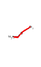 CCCCCCCCC=CCCCCCCCCCC(=O)OCCCCCCCCCCCCCCCCCCCCCCCCCCC